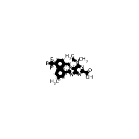 CCN(C)c1nc(C(=O)O)nc2nc(-c3cccc(C)c3)n(Cc3ccc(C(F)(F)F)cc3)c12